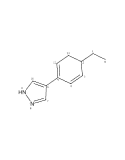 CCC1C=CC(c2cn[nH]c2)=CC1